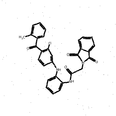 Cc1ccccc1C(=O)c1ccc(Nc2ccccc2NC(=O)CN2C(=O)c3ccccc3C2=O)cc1Cl